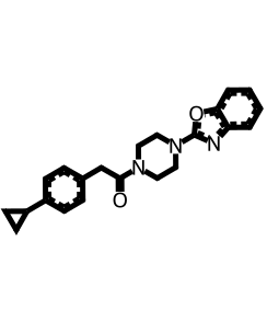 O=C(Cc1ccc(C2CC2)cc1)N1CCN(c2nc3ccccc3o2)CC1